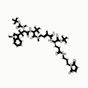 C/C(=C\CN(C)C(=O)C(NC(=O)[C@@H](N(C)C(=O)OC(C)(C)C)C(C)(C)c1cn(C)c2ccccc12)C(C)(C)C)C(=O)N[C@H](CCC(=O)NCCCN1C(=O)C=CC1=O)C(=O)OC(C)(C)C